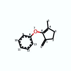 C=C1CCC(C)=C1Oc1ccccc1